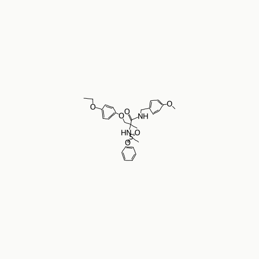 CCOc1ccc(OCC(C)(NS(C)(=O)=O)C(=O)NCc2ccc(OC)cc2)cc1.c1ccccc1